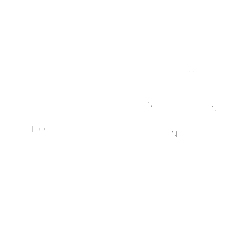 COc1cc(O)ccc1-c1cn2ccnc(OC)c2n1